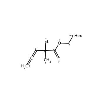 C=C=CC(C)(CC)C(=O)OCCCCCCC